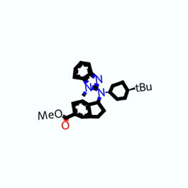 COC(=O)c1ccc2c(c1)CCC2N(c1nc2ccccc2n1C)[C@H]1CC[C@H](C(C)(C)C)CC1